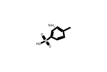 Cc1ccc(S(=O)(=O)O)cc1.[SnH2]